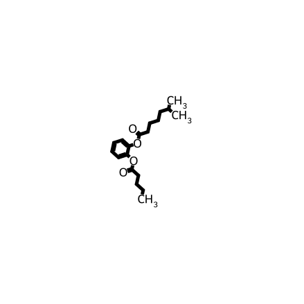 CCCCC(=O)Oc1ccccc1OC(=O)CCCCC(C)C